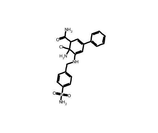 NC(=O)C1C=C(c2ccccc2)C=C(NCc2ccc(S(N)(=O)=O)cc2)C1(N)Cl